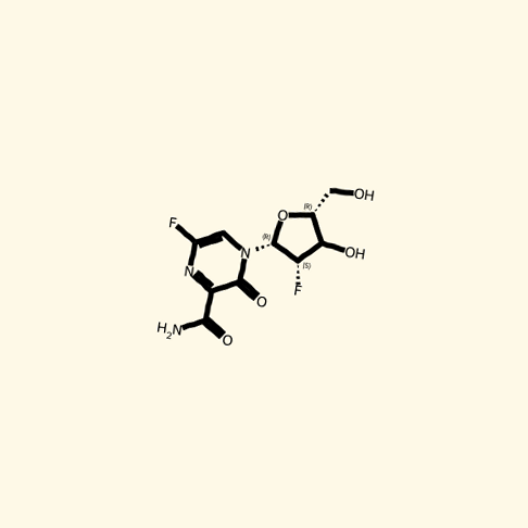 NC(=O)c1nc(F)cn([C@@H]2O[C@H](CO)C(O)[C@@H]2F)c1=O